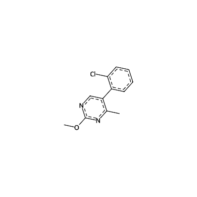 COc1ncc(-c2ccccc2Cl)c(C)n1